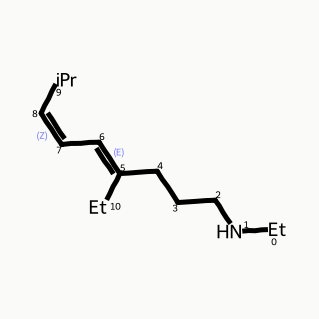 CCNCCC/C(=C/C=C\C(C)C)CC